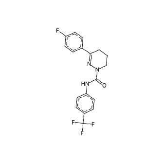 O=C(Nc1ccc(C(F)(F)F)cc1)N1CCCC(c2ccc(F)cc2)=N1